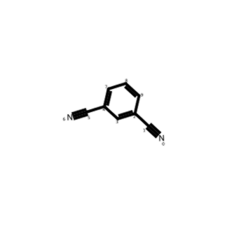 N#Cc1[c]c(C#N)ccc1